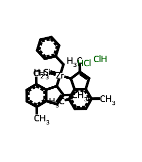 CC1=Cc2c(C)ccc(C)c2[CH]1[Zr](=[SiH2])([CH2]c1ccccc1)[CH]1C(C)=Cc2c(C)ccc(C)c21.Cl.Cl